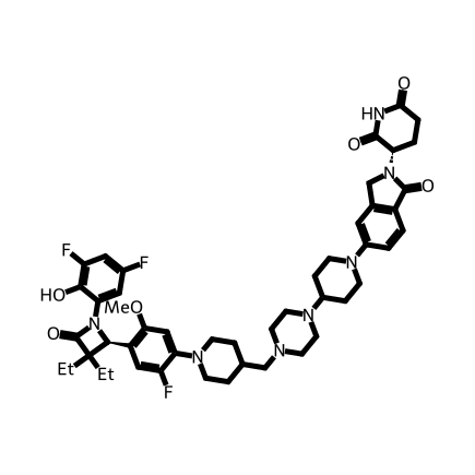 CCC1(CC)C(=O)N(c2cc(F)cc(F)c2O)[C@H]1c1cc(F)c(N2CCC(CN3CCN(C4CCN(c5ccc6c(c5)CN([C@H]5CCC(=O)NC5=O)C6=O)CC4)CC3)CC2)cc1OC